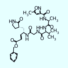 Cc1cc(C(=O)N[C@@H](C)C(=O)NC(C(=O)NCC(=O)N[C@H](/C=C/C(=O)OCc2ccccc2)C[C@@H]2CCNC2=O)C(C)C)no1